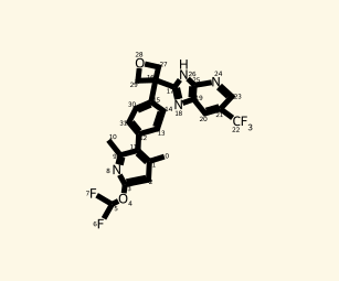 Cc1cc(OC(F)F)nc(C)c1-c1ccc(C2(c3nc4cc(C(F)(F)F)cnc4[nH]3)COC2)cc1